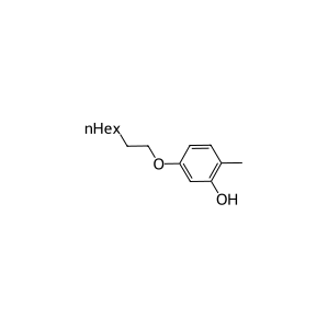 CCCCCCCCOc1ccc(C)c(O)c1